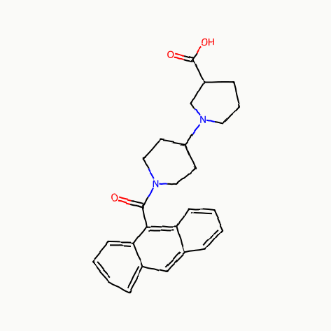 O=C(O)C1CCCN(C2CCN(C(=O)c3c4ccccc4cc4ccccc34)CC2)C1